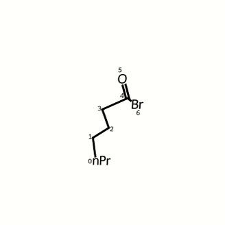 CCCCCCC(=O)Br